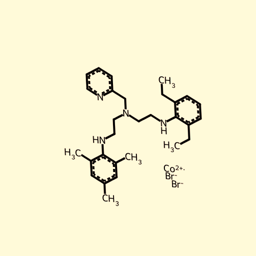 CCc1cccc(CC)c1NCCN(CCNc1c(C)cc(C)cc1C)Cc1ccccn1.[Br-].[Br-].[Co+2]